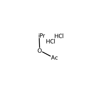 CC(=O)OC(C)C.Cl.Cl